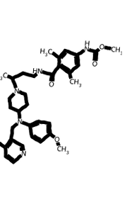 COC(=O)Nc1cc(C)c(C(=O)NCCC(C)N2CCC(N(Cc3cnccc3C)c3ccc(OC)cc3)CC2)c(C)c1